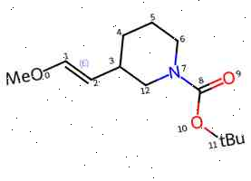 CO/C=C/C1CCCN(C(=O)OC(C)(C)C)C1